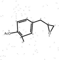 CC(=O)Oc1ccc(CC2CO2)cc1C